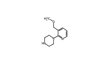 [11CH3]OCc1cccnc1N1CCNCC1